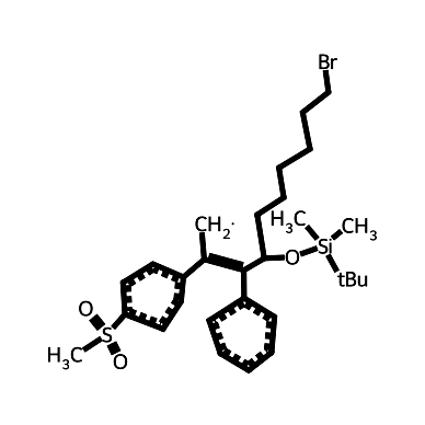 [CH2]/C(=C(/c1ccccc1)C(CCCCCCBr)O[Si](C)(C)C(C)(C)C)c1ccc(S(C)(=O)=O)cc1